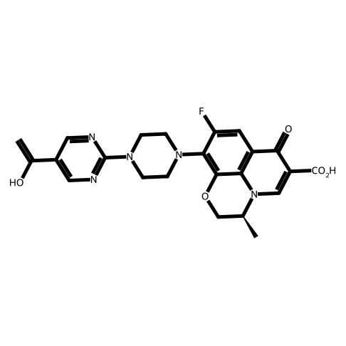 C=C(O)c1cnc(N2CCN(c3c(F)cc4c(=O)c(C(=O)O)cn5c4c3OC[C@@H]5C)CC2)nc1